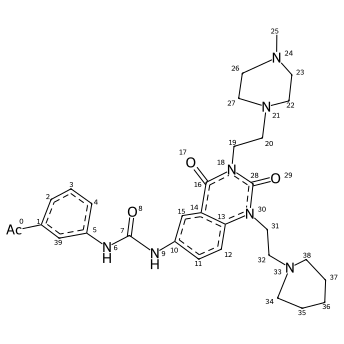 CC(=O)c1cccc(NC(=O)Nc2ccc3c(c2)c(=O)n(CCN2CCN(C)CC2)c(=O)n3CCN2CCCCC2)c1